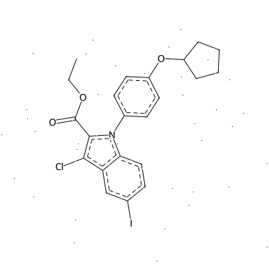 CCOC(=O)c1c(Cl)c2cc(I)ccc2n1-c1ccc(OC2CCCC2)cc1